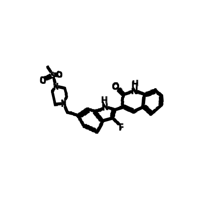 CS(=O)(=O)N1CCN(Cc2ccc3c(F)c(-c4cc5ccccc5[nH]c4=O)[nH]c3c2)CC1